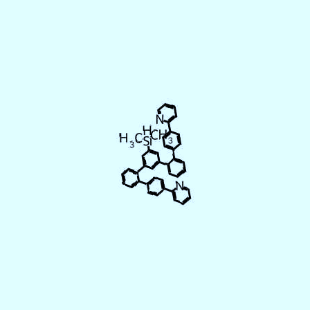 C[SiH](C)c1cc(-c2ccccc2-c2ccc(-c3ccccn3)cc2)cc(-c2ccccc2-c2ccc(-c3ccccn3)cc2)c1